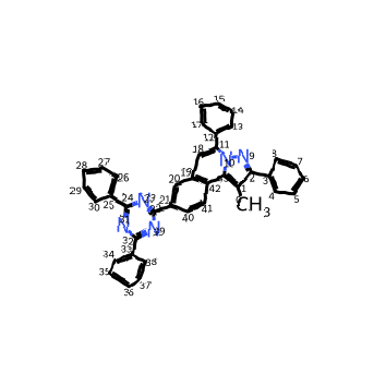 Cc1c(-c2ccccc2)nn2c(-c3ccccc3)cc3cc(-c4nc(-c5ccccc5)nc(-c5ccccc5)n4)ccc3c12